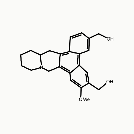 COc1cc2c3c(c4ccc(CO)cc4c2cc1CO)CC1CCCCN1C3